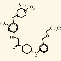 CCOC(=O)COCc1cccc(N[C@H]2CC[C@H](C(=O)CNc3ccc(CN4CCN(C(=O)O)[C@@H](C)C4)c(C)c3)CC2)c1